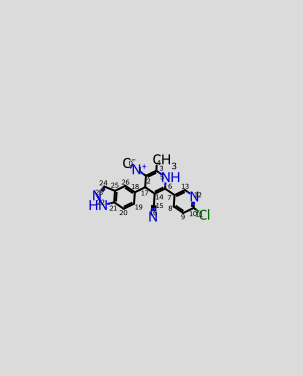 [C-]#[N+]C1=C(C)NC(c2ccc(Cl)nc2)=C(C#N)C1c1ccc2[nH]ncc2c1